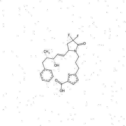 C[C@@H](Cc1ccccc1)[C@@H](O)C=CC1CC(F)(F)C(=O)N1CCCc1ccc(C(=O)O)s1